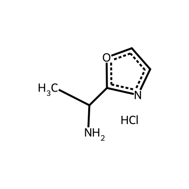 CC(N)c1ncco1.Cl